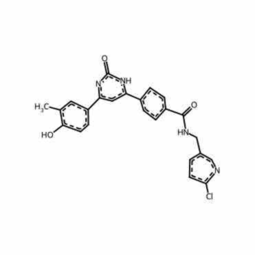 Cc1cc(-c2cc(-c3ccc(C(=O)NCc4ccc(Cl)nc4)cc3)[nH]c(=O)n2)ccc1O